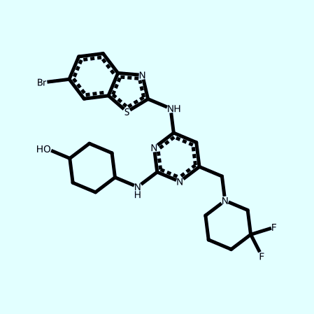 OC1CCC(Nc2nc(CN3CCCC(F)(F)C3)cc(Nc3nc4ccc(Br)cc4s3)n2)CC1